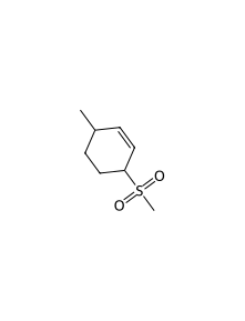 CC1C=CC(S(C)(=O)=O)CC1